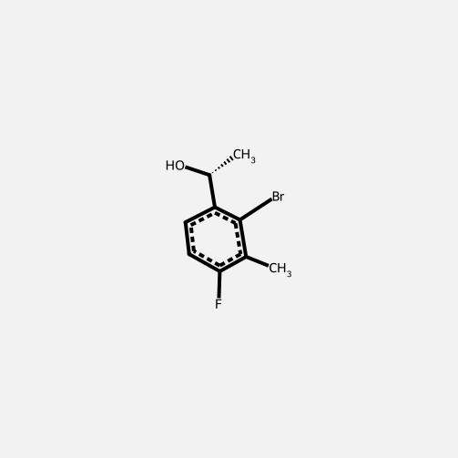 Cc1c(F)ccc([C@@H](C)O)c1Br